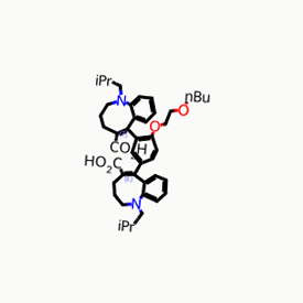 CCCCOCCOc1ccc(/C2=C(\C(=O)O)CCCN(CC(C)C)c3ccccc32)cc1/C1=C(\C(=O)O)CCCN(CC(C)C)c2ccccc21